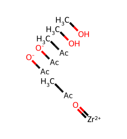 CC(=O)[O-].CC(=O)[O-].CC(C)=O.CC(C)=O.CO.CO.[O]=[Zr+2]